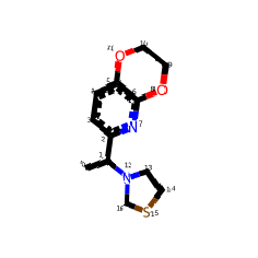 CC(c1ccc2c(n1)OCCO2)N1CCSC1